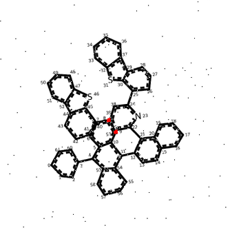 c1ccc(-c2c3ccccc3c(-c3ccc4ccccc4c3-c3nc(-c4cccc5c4sc4ccccc45)cc(-c4cccc5c4sc4ccccc45)n3)c3ccccc23)cc1